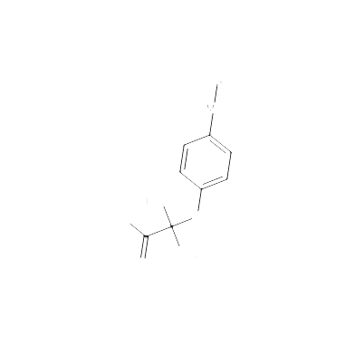 CC(C)(Oc1cc[c]([Mg][Br])cc1)C(=O)O